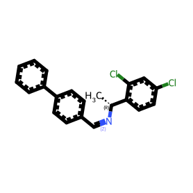 C[C@@H](/N=C\c1ccc(-c2ccccc2)cc1)c1ccc(Cl)cc1Cl